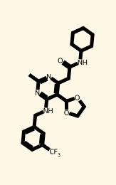 Cc1nc(CC(=O)NC2CCCCC2)c(C2OCCO2)c(NCc2cccc(C(F)(F)F)c2)n1